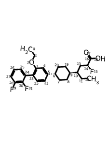 CCOc1cc([C@H]2CC[C@H](C(CC)C[C@H](F)C(=O)O)CC2)ccc1-c1cccc(F)c1F